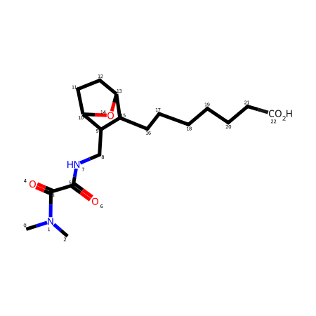 CN(C)C(=O)C(=O)NCC1C2CCC(O2)C1CCCCCCC(=O)O